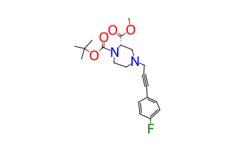 COC(=O)[C@@H]1CN(CC#Cc2ccc(F)cc2)CCN1C(=O)OC(C)(C)C